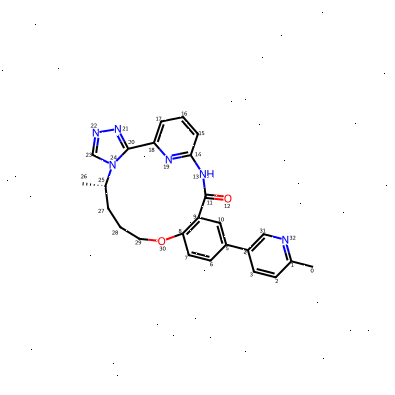 Cc1ccc(-c2ccc3c(c2)C(=O)Nc2cccc(n2)-c2nncn2[C@@H](C)CCCO3)cn1